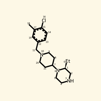 CC[C@H]1CNCCN1C1CCN(Cc2ccc(Cl)c(C)c2)CC1